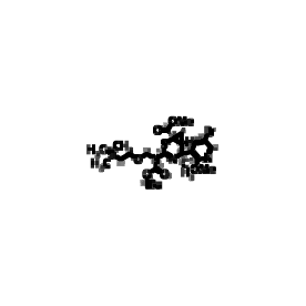 COC(=O)[C@]12C[C@H]1[C@@](C)(c1cc(Br)cnc1OC)N=C(N(COCC[Si](C)(C)C)C(=O)OC(C)(C)C)S2